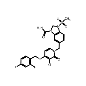 CS(=O)(=O)N1CN(C(N)=O)c2cc(Cn3ccc(OCc4ccc(F)cc4F)c(Cl)c3=O)ccc21